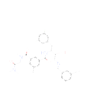 CCc1cccc(CNCC(O)C(Cc2cc(F)cc(F)c2)NC(=O)c2cc(C)cc(C(=O)N(C)CC(=O)N(C)C)c2)c1